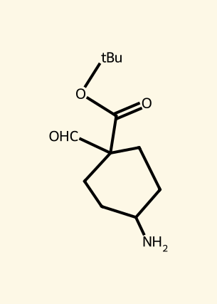 CC(C)(C)OC(=O)C1(C=O)CCC(N)CC1